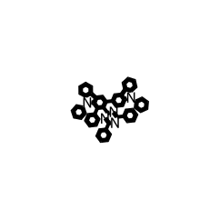 c1ccc(-c2nc(-c3ccccc3)nc(-c3c(-c4ccc5c(c4)c4ccccc4n5-c4ccccc4)cc4c5ccccc5n(-c5ccccc5)c4c3-c3ccccc3)n2)cc1